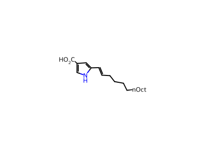 CCCCCCCCCCCCC=Cc1cc(C(=O)O)c[nH]1